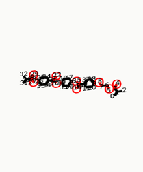 C=C(C)C(=O)OCCOc1ccc(C(=O)Oc2ccc(OC(=O)c3ccc(OC(=O)C(=C)C)cc3)cc2)cc1